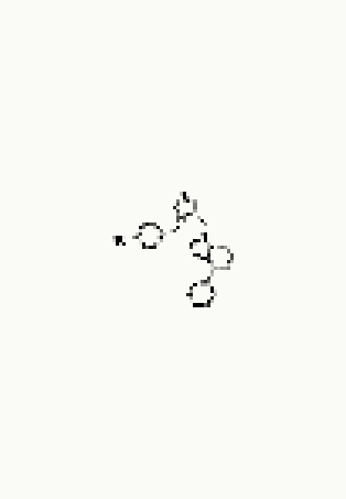 N#Cc1ccc(Cn2cncc2Cn2ccc3c(-c4ccccc4)cccc32)cc1